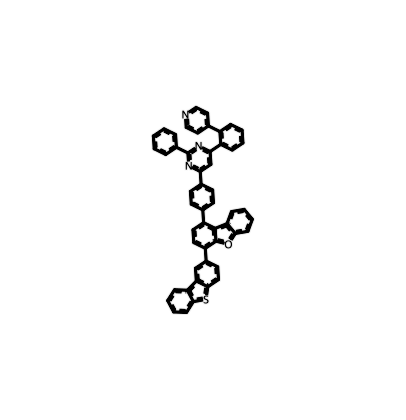 c1ccc(-c2nc(-c3ccc(-c4ccc(-c5ccc6sc7ccccc7c6c5)c5oc6ccccc6c45)cc3)cc(-c3ccccc3-c3ccncc3)n2)cc1